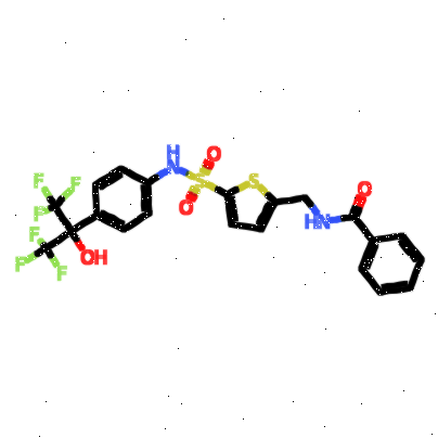 O=C(NCc1ccc(S(=O)(=O)Nc2ccc(C(O)(C(F)(F)F)C(F)(F)F)cc2)s1)c1ccccc1